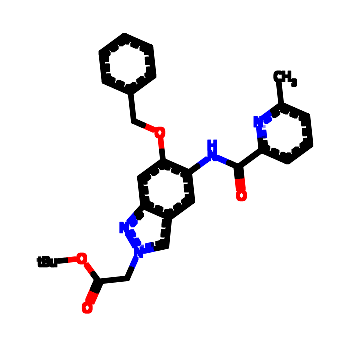 Cc1cccc(C(=O)Nc2cc3cn(CC(=O)OC(C)(C)C)nc3cc2OCc2ccccc2)n1